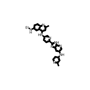 CCNc1ccc2nc(C)cc(Nc3ccc(-c4nc5cc(Nc6ccnc(C)c6)cnc5[nH]4)nc3)c2c1